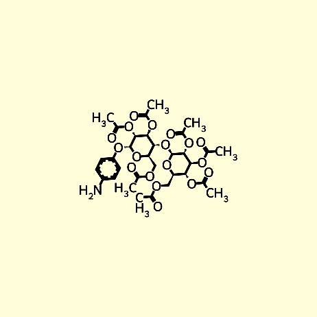 CC(=O)OC[C@H]1O[C@@H](O[C@H]2[C@H](OC(C)=O)[C@@H](OC(C)=O)[C@@H](Oc3ccc(N)cc3)O[C@@H]2COC(C)=O)[C@H](OC(C)=O)[C@@H](OC(C)=O)[C@@H]1OC(C)=O